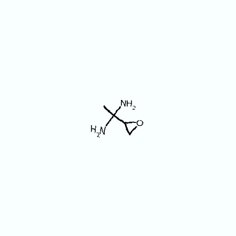 CC(N)(N)C1CO1